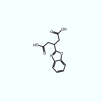 O=C(O)CC(CC(=O)O)c1nc2ccccc2o1